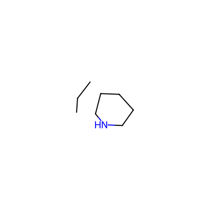 C1CCNCC1.CCC